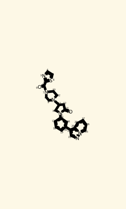 O=C(c1nccs1)N1CCN(C2CC(=O)N(c3cccc(-c4cnn5ccccc45)c3)C2)CC1